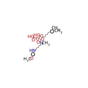 COc1ccc(NCCCCCN(C)C(=O)C(OCCCCCc2ccc(C)c(C)c2)C(OCC(=O)O)C(=O)O)cc1